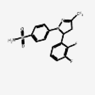 NS(=O)(=O)c1ccc(N2N=C(C(F)(F)F)CC2c2cccc(F)c2F)cc1